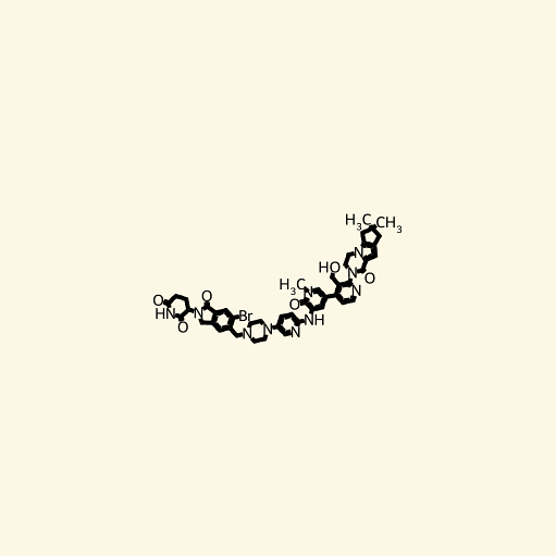 Cn1cc(-c2ccnc(N3CCn4c(cc5c4CC(C)(C)C5)C3=O)c2CO)cc(Nc2ccc(N3CCN(Cc4cc5c(cc4Br)C(=O)N(C4CCC(=O)NC4=O)C5)CC3)cn2)c1=O